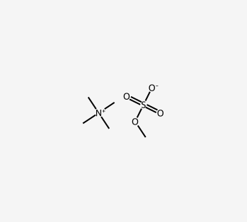 COS(=O)(=O)[O-].C[N+](C)(C)C